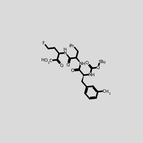 Cc1cccc(C[C@H](NC(=O)OC(C)(C)C)C(=O)NC(CC(C)C)C(=O)NC(CCF)C(=O)C(=O)O)c1